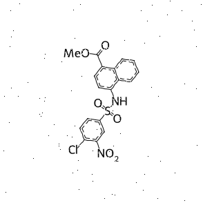 COC(=O)c1ccc(NS(=O)(=O)c2ccc(Cl)c([N+](=O)[O-])c2)c2ccccc12